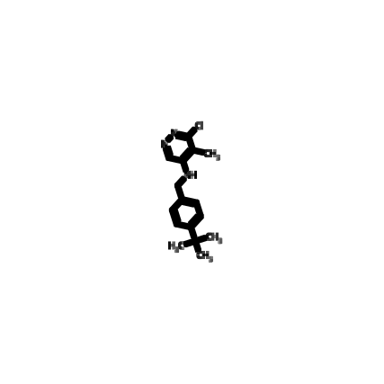 Cc1c(NCc2ccc(C(C)(C)C)cc2)cnnc1Cl